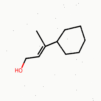 CC(=CCO)C1CCCCC1